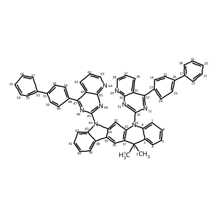 CC1(C)c2ccccc2N(c2nc(-c3ccc(-c4ccccc4)cc3)c3cccnc3n2)c2cc3c(cc21)c1ccccc1n3-c1nc(-c2ccc(-c3ccccc3)cc2)c2cccnc2n1